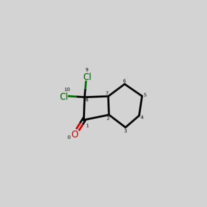 O=C1C2CCCCC2C1(Cl)Cl